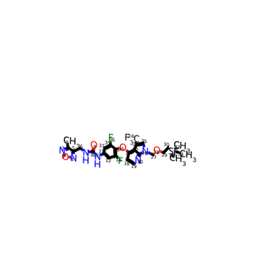 Cc1nonc1CNC(=O)Nc1cc(F)c(Oc2ccnc3c2c(C(F)(F)F)cn3COCC[Si](C)(C)C)c(F)c1